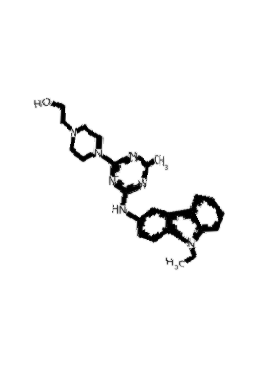 CCn1c2ccccc2c2cc(Nc3nc(C)nc(N4CCN(CCO)CC4)n3)ccc21